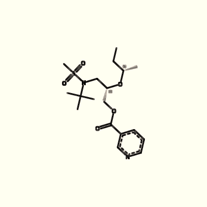 CC[C@H](C)O[C@H](COC(=O)c1cccnc1)CN(C(C)(C)C)S(C)(=O)=O